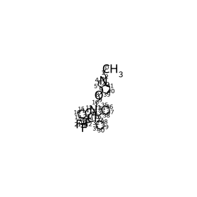 CCCn1ccc2c(OCCCN(Cc3cccc(C(F)(F)F)c3Cl)CC(c3ccccc3)c3ccccc3)cccc21